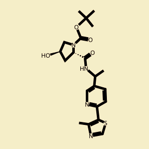 Cc1ncsc1-c1ccc(C(C)NC(=O)[C@@H]2C[C@@H](O)CN2C(=O)OC(C)(C)C)cn1